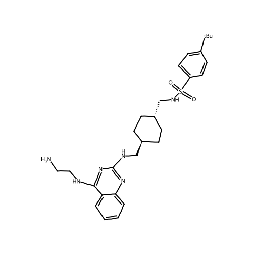 CC(C)(C)c1ccc(S(=O)(=O)NC[C@H]2CC[C@H](CNc3nc(NCCN)c4ccccc4n3)CC2)cc1